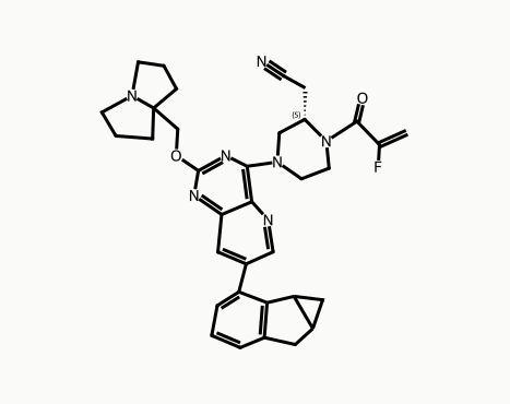 C=C(F)C(=O)N1CCN(c2nc(OCC34CCCN3CCC4)nc3cc(-c4cccc5c4C4CC4C5)cnc23)C[C@@H]1CC#N